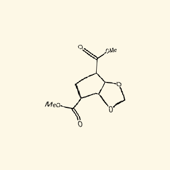 COC(=O)C1CC(C(=O)OC)C2OCOC12